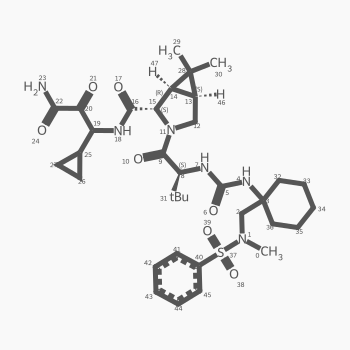 CN(CC1(NC(=O)N[C@H](C(=O)N2C[C@H]3[C@@H]([C@H]2C(=O)NC(C(=O)C(N)=O)C2CC2)C3(C)C)C(C)(C)C)CCCCC1)S(=O)(=O)c1ccccc1